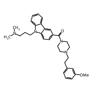 COc1cccc(CCN2CCN(C(=O)c3ccc4c(c3)c3ccccc3n4CCCN(C)C)CC2)c1